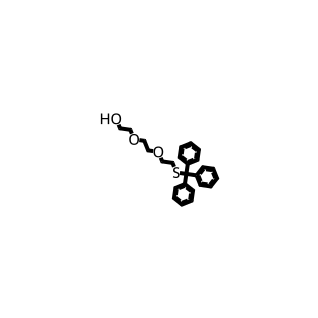 OCCOCCOCCSC(c1ccccc1)(c1ccccc1)c1ccccc1